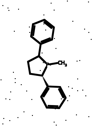 CP1C(c2ccccc2)CC[C@H]1c1ccccc1